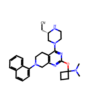 CN(C)C1(Oc2nc3c(c(N4CCN[C@@H](CC#N)C4)n2)CCN(c2cccc4ccccc24)C3)CCC1